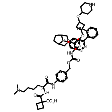 CN(C)CCCC[C@H](NC(=O)C1(C(=O)O)CCC1)C(=O)Nc1ccc(COC(=O)Nc2nnc(-c3ccccc3O)cc2N2CC3CCC(C2)N3c2ccnc(OC3CC(OC4CCNCC4)C3)c2)cc1